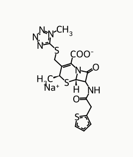 C[C@@H]1S[C@H]2C(NC(=O)Cc3cccs3)C(=O)N2C(C(=O)[O-])=C1CSc1nnnn1C.[Na+]